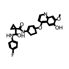 COc1cc2nccc(OC3=CC=C(NC(=O)C4(C(=O)Nc5ccc(F)cc5)CC4)CC3)c2cc1O